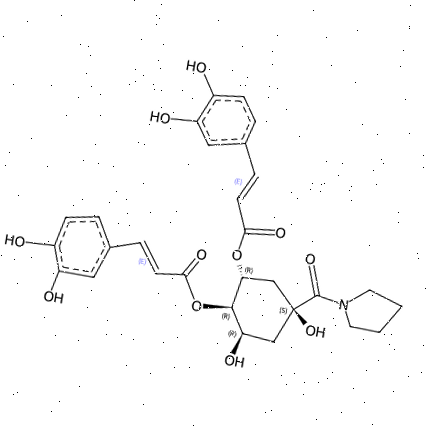 O=C(/C=C/c1ccc(O)c(O)c1)O[C@@H]1[C@H](O)C[C@@](O)(C(=O)N2CCCC2)C[C@H]1OC(=O)/C=C/c1ccc(O)c(O)c1